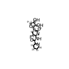 C[C@H]1O[C@@H](n2cc(F)c(NC(=O)c3ccccn3)nc2=O)[C@H](O)[C@@H]1O